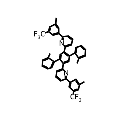 Cc1cc(-c2cccc(-c3cc(-c4ccccc4C)c(-c4cccc(-c5cc(C)cc(C(F)(F)F)c5)n4)cc3-c3ccccc3C)n2)cc(C(F)(F)F)c1